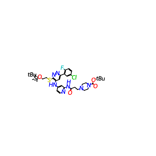 CC(C)(C)OC(=O)N1CCN(CCC(=O)Nc2cc(Nc3cc(-c4cc(Cl)ccc4F)nnc3SCCO[Si](C)(C)C(C)(C)C)ccn2)CC1